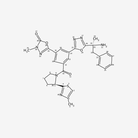 Cc1csc([C@H]2CCCN2C(=O)c2cc(-c3nnc([C@@](C)(N)Cc4ccccc4)o3)cc(-c3nn(C)c(=O)o3)c2)n1